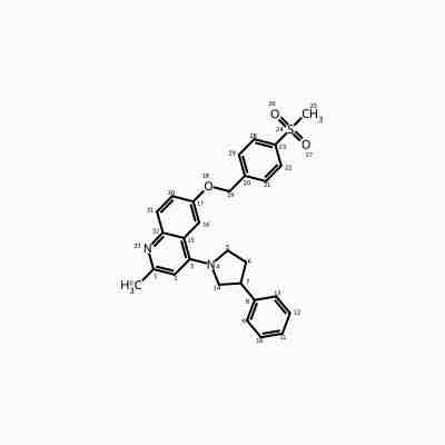 Cc1cc(N2CCC(c3ccccc3)C2)c2cc(OCc3ccc(S(C)(=O)=O)cc3)ccc2n1